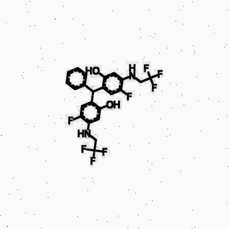 Oc1cc(NCC(F)(F)F)c(F)cc1C(c1ccccc1)c1cc(F)c(NCC(F)(F)F)cc1O